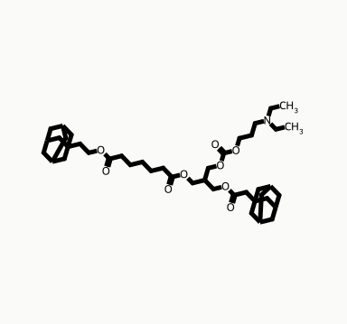 CCN(CC)CCCOC(=O)OCC(COC(=O)CCCCCC(=O)OCCC12CC3CC(CC(C3)C1)C2)COC(=O)CC12CC3CC(CC(C3)C1)C2